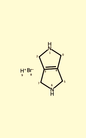 C1NCC2=C1CNC2.[Br-].[H+]